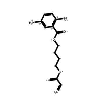 C=CC(=O)OCCCCOC(=O)c1cc(N)ccc1N